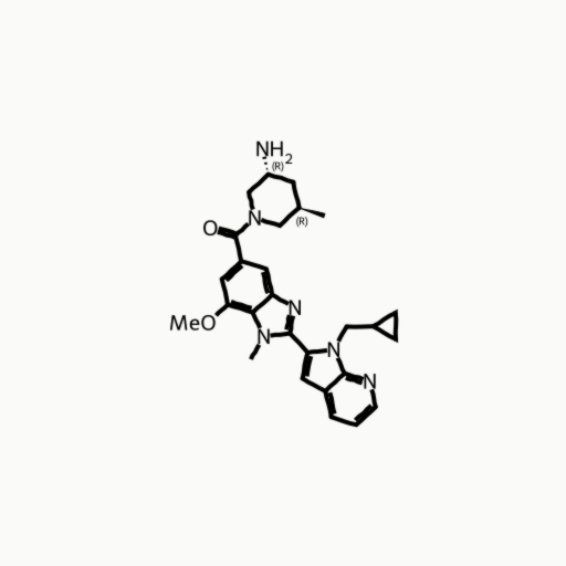 COc1cc(C(=O)N2C[C@H](C)C[C@@H](N)C2)cc2nc(-c3cc4cccnc4n3CC3CC3)n(C)c12